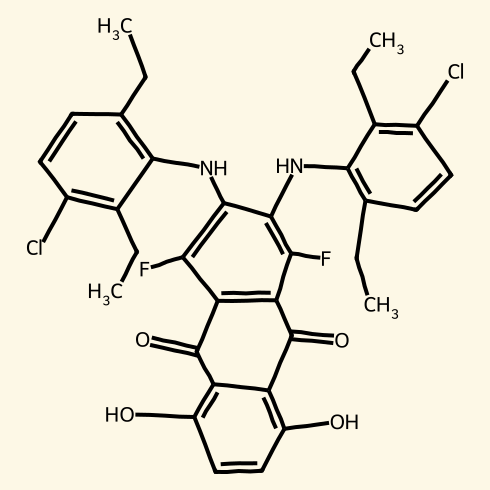 CCc1ccc(Cl)c(CC)c1Nc1c(F)c2c(c(F)c1Nc1c(CC)ccc(Cl)c1CC)C(=O)c1c(O)ccc(O)c1C2=O